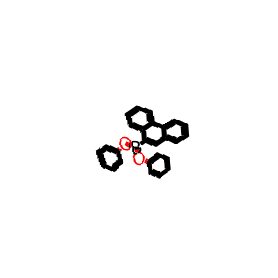 c1ccc(OB(Oc2ccccc2)c2cc3ccccc3c3ccccc23)cc1